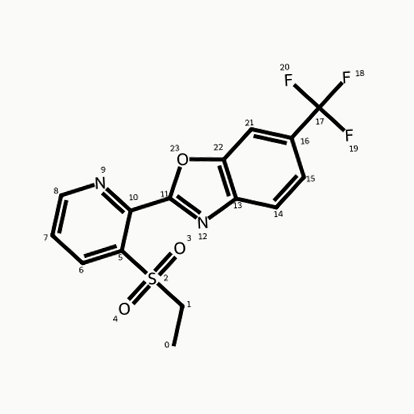 CCS(=O)(=O)c1cccnc1-c1nc2ccc(C(F)(F)F)cc2o1